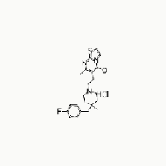 Cc1nc2sccn2c(=O)c1CCN1CCC(C)(Cc2ccc(F)cc2)CC1.Cl